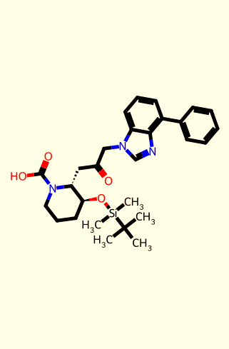 CC(C)(C)[Si](C)(C)O[C@H]1CCCN(C(=O)O)[C@@H]1CC(=O)Cn1cnc2c(-c3ccccc3)cccc21